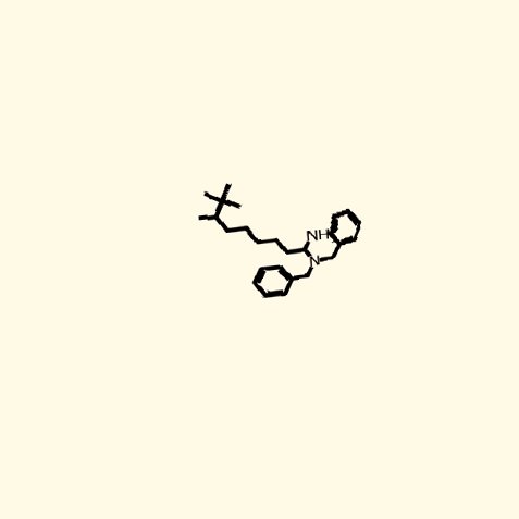 CC(CCCCCC(N)N(Cc1ccccc1)Cc1ccccc1)C(C)(C)C